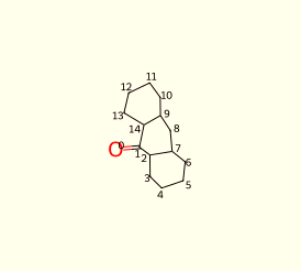 O=C1C2CCCCC2CC2CCCCC12